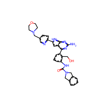 Nc1nc(-c2cccc(NC(=O)N3Cc4ccccc4C3)c2CO)c2cc(-c3ccc(CN4CCOCC4)cn3)[nH]c2n1